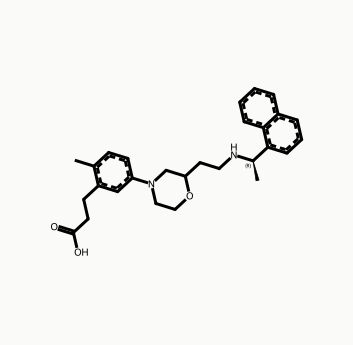 Cc1ccc(N2CCOC(CCN[C@H](C)c3cccc4ccccc34)C2)cc1CCC(=O)O